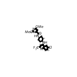 COc1cc(C(=O)N[C@H]2CC[C@@H](Nc3cc(C(F)(F)F)nc4ccc(Cl)cc34)CC2)nc(OC)n1